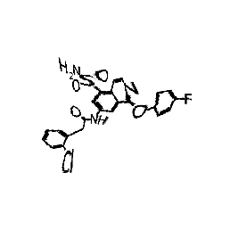 NS(=O)(=O)c1cc(NC(=O)Cc2ccccc2Cl)cc2c(Oc3ccc(F)cc3)nccc12